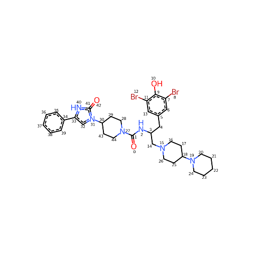 O=C(NC(Cc1cc(Br)c(O)c(Br)c1)CN1CCC(N2CCCCC2)CC1)N1CCC(n2cc(-c3ccccc3)[nH]c2=O)CC1